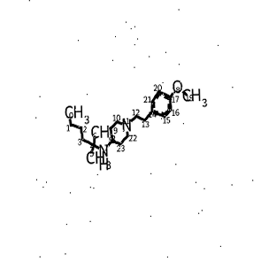 CCCCC(C)(C)NC1CCN(CCc2ccc(OC)cc2)CC1